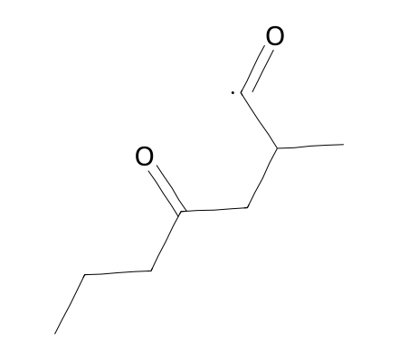 CCCC(=O)CC(C)[C]=O